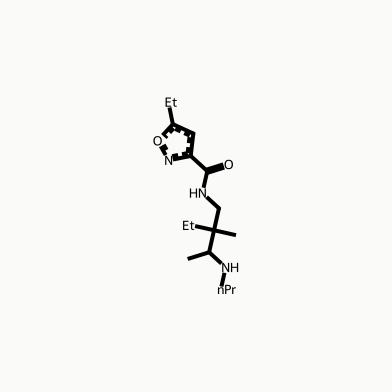 CCCNC(C)C(C)(CC)CNC(=O)c1cc(CC)on1